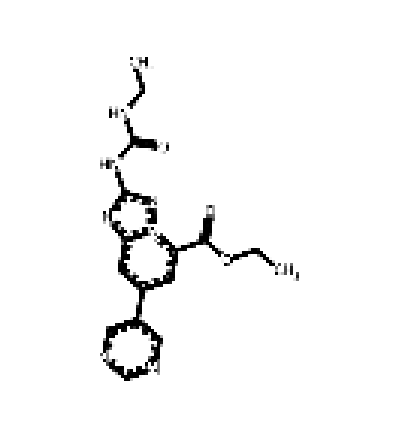 CCNC(=O)Nc1nc2cc(-c3cncnc3)cc(C(=O)OCC)n2n1